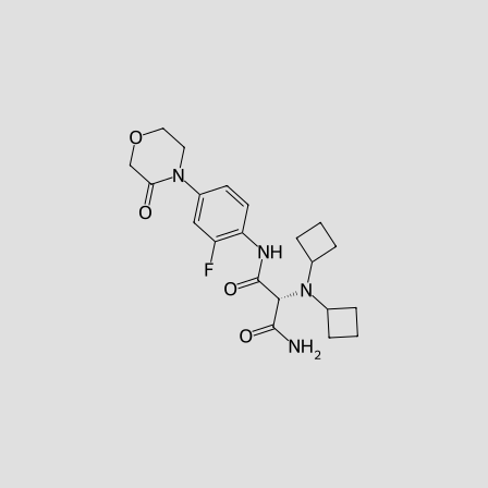 NC(=O)[C@H](C(=O)Nc1ccc(N2CCOCC2=O)cc1F)N(C1CCC1)C1CCC1